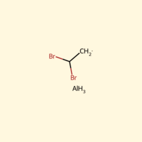 [AlH3].[CH2]C(Br)Br